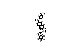 Cc1cccc(Nc2ccc3nc(NC4CCc5cc(F)ccc54)ccc3c2)n1